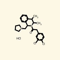 CC1c2ccccc2C(CN2CCCC2)N(C(=O)Cc2ccc(Cl)c(Cl)c2)C1C.Cl